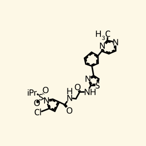 Cc1nccc(-c2cccc(-c3csc(NC(=O)CNC(=O)c4cc(Cl)n(S(=O)(=O)C(C)C)c4)n3)c2)n1